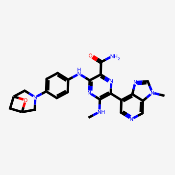 CNc1nc(Nc2ccc(N3CC4CC(C3)O4)cc2)c(C(N)=O)nc1-c1cncc2c1ncn2C